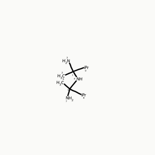 CC(C)C(C)(N)NC(C)(N)C(C)C